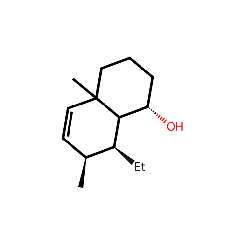 CC[C@@H]1C2[C@@H](O)CCCC2(C)C=C[C@@H]1C